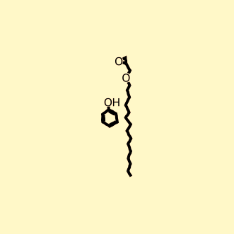 CCCCCCCCCCCCCCCOCC1CO1.Oc1ccccc1